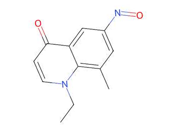 CCn1ccc(=O)c2cc(N=O)cc(C)c21